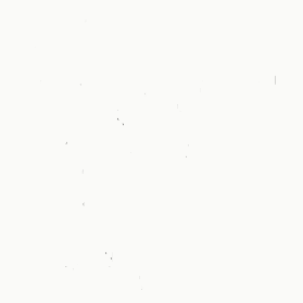 CCOC(=O)Cn1c(-c2ccccc2)cc2cc([N+](=O)[O-])ccc21